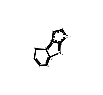 C1=CCC2=c3ccoc3=NC2=C1